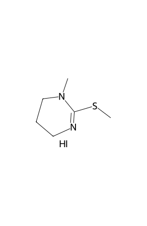 CSC1=NCCCN1C.I